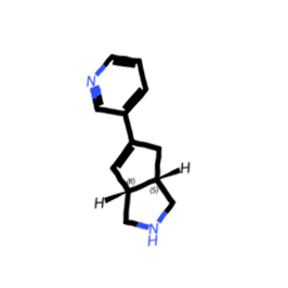 C1=C(c2cccnc2)C[C@@H]2CNC[C@H]12